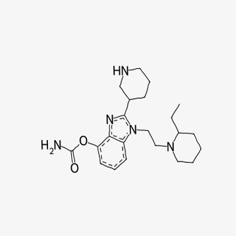 CCC1CCCCN1CCn1c(C2CCCNC2)nc2c(OC(N)=O)cccc21